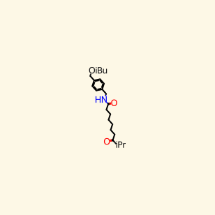 CC(C)COCc1ccc(CNC(=O)CCCCCCC(=O)C(C)C)cc1